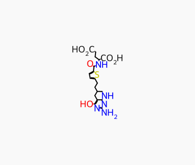 Nc1nc(O)c2c(n1)NCC(CCc1ccc(C(=O)NC(CCC(=O)O)C(=O)O)s1)C2